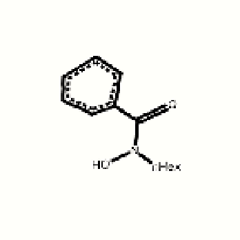 CCCCCCN(O)C(=O)c1ccccc1